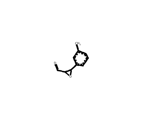 Cc1cccc(C2OC2C=O)c1